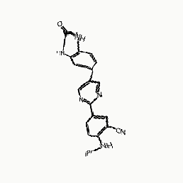 CC(C)Nc1ccc(-c2ncc(-c3ccc4[nH]c(=O)[nH]c4c3)cn2)cc1C#N